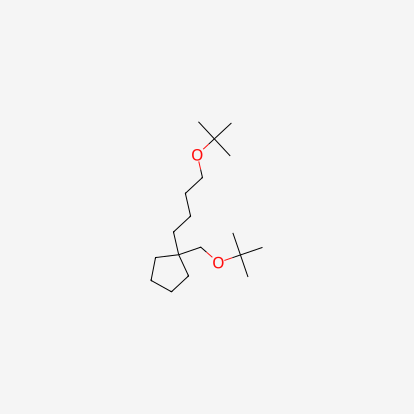 CC(C)(C)OCCCCC1(COC(C)(C)C)CCCC1